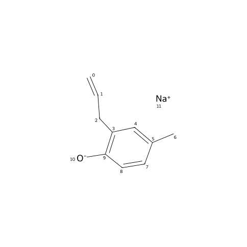 C=CCc1cc(C)ccc1[O-].[Na+]